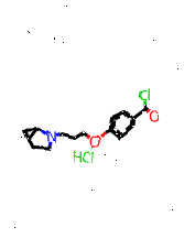 Cl.O=C(Cl)c1ccc(OCCCN2CCC3CC32)cc1